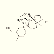 CC(=O)O.CC[C@H]1CC[C@H]2[C@H](CN)[C@@H](C3(O)CCC(C)C(CO)C3)CC[C@]12C